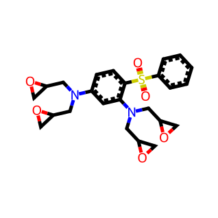 O=S(=O)(c1ccccc1)c1ccc(N(CC2CO2)CC2CO2)cc1N(CC1CO1)CC1CO1